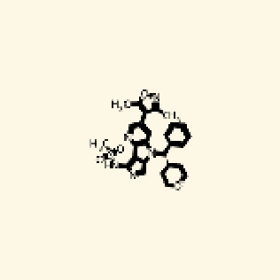 Cc1noc(C)c1-c1cnc2c(c1)N([C@H](c1ccccc1)C1CCOCC1)C1C=NC(NS(C)(=O)=O)=C21